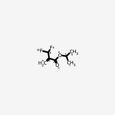 C=C(C(=O)OC(C)C)C(F)F